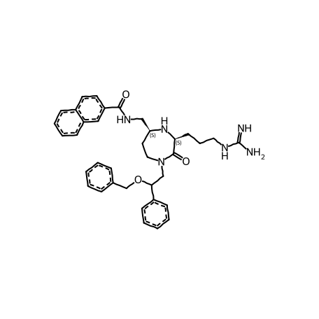 N=C(N)NCCC[C@@H]1N[C@H](CNC(=O)c2ccc3ccccc3c2)CCN(CC(OCc2ccccc2)c2ccccc2)C1=O